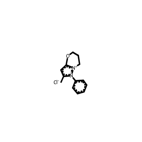 Cc1cc2[n+](n1-c1ccccc1)CCCO2.[Cl-]